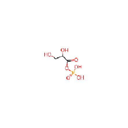 O=C(OP(=O)(O)O)C(O)CO